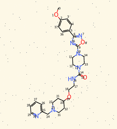 COc1ccc(-c2noc(N3CCN(C(=O)NCCOC4CCN(Cc5ccccn5)CC4)CC3)n2)cc1